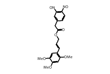 COc1cc(OC)c(OC)cc1/C=C/COC(=O)Cc1ccc(N=O)c(N=O)c1